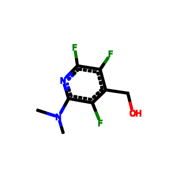 CN(C)c1nc(F)c(F)c(CO)c1F